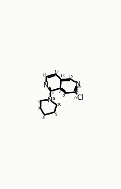 Clc1cc2c(N3CCCCC3)nccc2cn1